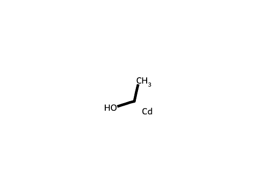 CCO.[Cd]